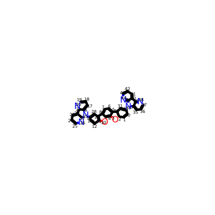 C1=CC2Oc3c(ccc4c3oc3ccc(-n5c6cccnc6c6cccnc65)cc34)C2C=C1n1c2cccnc2c2cccnc21